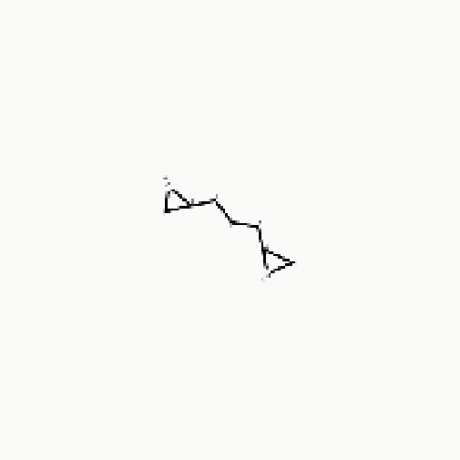 C(CC1CS1)CC1CS1